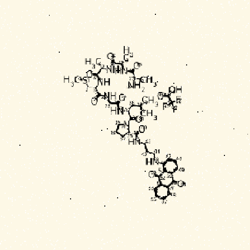 CSC[C@H](NC(=O)[C@H](C)NC(=O)[C@H](C)NC(=O)[C@@H](C)N)C(=O)NCC(=O)N[C@@H](CC(C)C)C(=O)N1CCC[C@H]1C(=O)NCCCNc1cccc2c1C(=O)c1ccccc1C2=O.O=C(O)C(F)(F)F